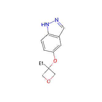 CCC1(Oc2ccc3[nH]ncc3c2)COC1